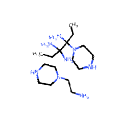 CCC(N)(N)C(N)(CC)N1CCNCC1.NCCN1CCNCC1